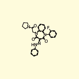 O=C(Cn1c(=O)c(=NNc2ccccc2)c(=O)n(-c2ccccc2F)c2ccccc21)N1CCCC1